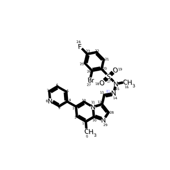 Cc1cc(-c2cccnc2)cn2c(/C=N/N(C)S(=O)(=O)c3ccc(F)cc3Br)cnc12